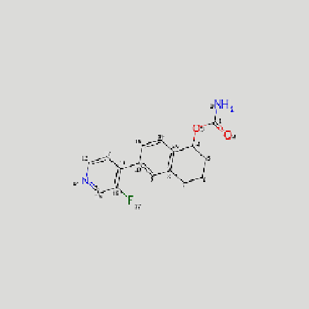 NC(=O)OC1CCCc2cc(-c3ccncc3F)ccc21